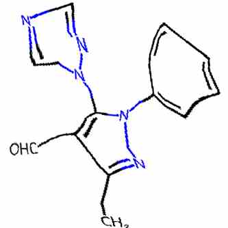 Cc1nn(-c2ccccc2)c(-n2cncn2)c1C=O